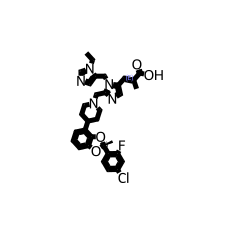 CCn1cncc1Cn1c(/C=C(\C)C(=O)O)cnc1CN1CCC(c2cccc3c2O[C@](C)(c2ccc(Cl)cc2F)O3)CC1